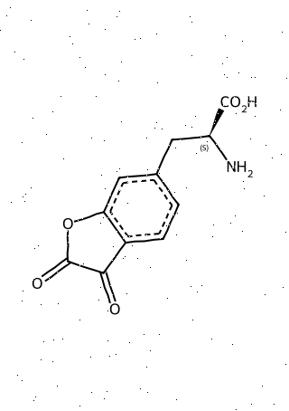 N[C@@H](Cc1ccc2c(c1)OC(=O)C2=O)C(=O)O